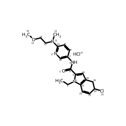 CCn1c(C(=O)Nc2ccc(N(C)CCOC)nc2)cc2c1C=CC(Cl)C2.Cl